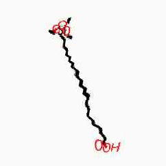 CCO[Si](CCCCCCCCCCCCCCCCCCCCCCCCC(=O)O)(OCC)OCC